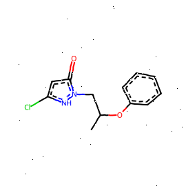 CC(Cn1[nH]c(Cl)cc1=O)Oc1ccccc1